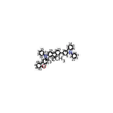 CC1(C)c2cc(-c3ccc4c(c3)c3ccccc3n4-c3ccccc3)ccc2-c2ccc(N(c3ccccc3)c3ccc4oc5ccccc5c4c3)cc21